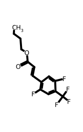 CCCCOC(=O)C=Cc1cc(F)c(C(F)(F)F)cc1F